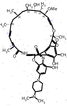 CO[C@H]1/C=C/O[C@@]2(C)Oc3c(C)c(O)c4c(=O)c(c5oc6cc(N7CCC(N(C)C)CC7)cc(O)c6nc-5c4c3C2=O)NC(=O)/C(C)=C\C=C\[C@H](C)C[C@@H](C)C[C@@H](C)[C@H](O)[C@@H]1C